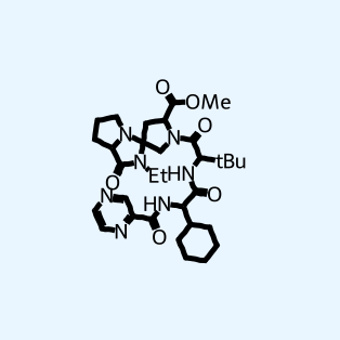 CCN1C(=O)C2CCCN2C12CC(C(=O)OC)N(C(=O)C(NC(=O)C(NC(=O)c1cnccn1)C1CCCCC1)C(C)(C)C)C2